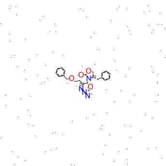 [N-]=[N+]=N[C@@H](CCOCc1ccccc1)C(=O)N1C(=O)OC[C@@H]1Cc1ccccc1